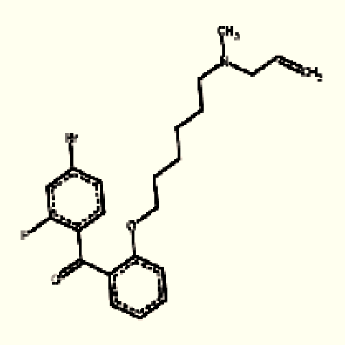 C=CCN(C)CCCCCCOc1ccccc1C(=O)c1ccc(Br)cc1F